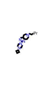 CC(C)CCN1CCc2cnc(N3CCN(C4CCC4)CC3)nc2CC1